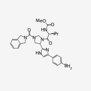 Bc1ccc(-c2c[nH]c(C3CN(C(=O)N4Cc5ccccc5C4)CN3C(=O)[C@@H](NC(=O)OC)C(C)C)n2)cc1